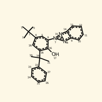 CC(C)(C)c1cc(-n2n3c4ccccc4n23)c(O)c(C(C)(C)c2ccccc2)c1